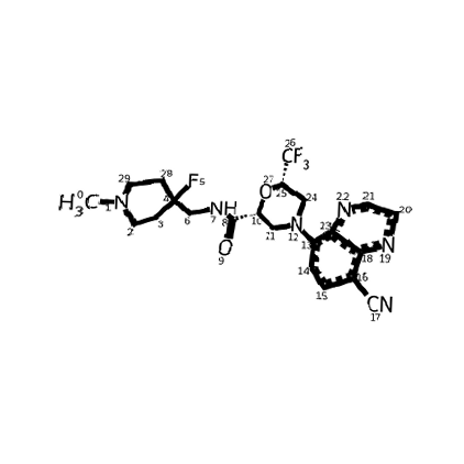 CN1CCC(F)(CNC(=O)[C@H]2CN(c3ccc(C#N)c4nccnc34)C[C@@H](C(F)(F)F)O2)CC1